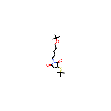 CC(C)(C)OCCCCCN1C(=O)CC(SC(C)(C)C)C1=O